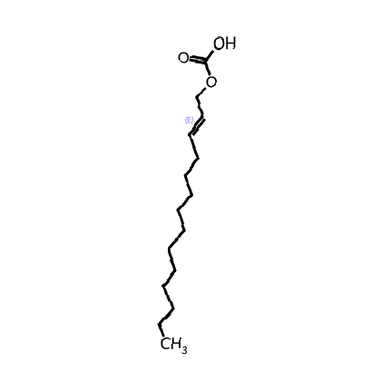 CCCCCCCCCCC/C=C/COC(=O)O